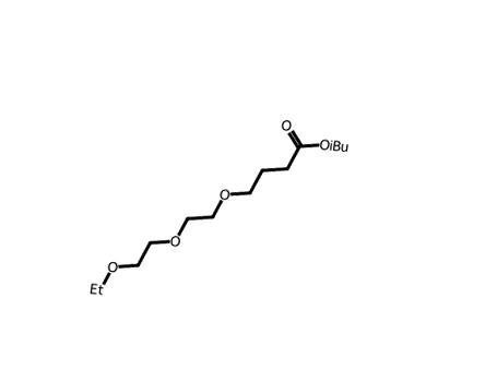 CCOCCOCCOCCCC(=O)OCC(C)C